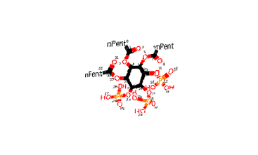 CCCCCC(=O)OC1C(OC(=O)CCCCC)C(OP(=O)(O)O)C(OP(=O)(O)O)C(OP(=O)(O)O)C1OC(=O)CCCCC